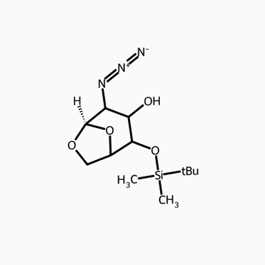 CC(C)(C)[Si](C)(C)OC1C2CO[C@H](O2)C(N=[N+]=[N-])C1O